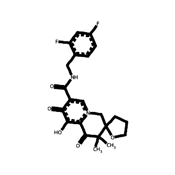 CC1(C)C(=O)c2c(O)c(=O)c(C(=O)NCc3ccc(F)cc3F)cn2CC12CCCO2